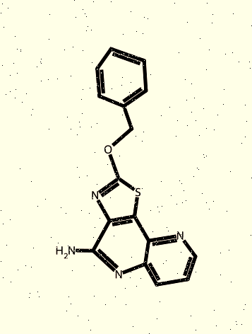 Nc1nc2cccnc2c2sc(OCc3ccccc3)nc12